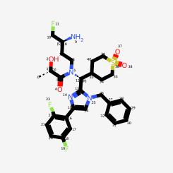 C[C@H](O)C(=O)N(CC[C@H](N)CF)[C@@H](c1nc(-c2cc(F)ccc2F)cn1Cc1ccccc1)C1CCS(=O)(=O)CC1